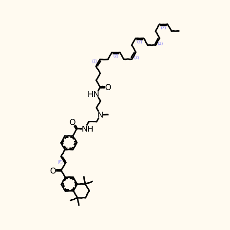 CC/C=C\C/C=C\C/C=C\C/C=C\C/C=C\C/C=C\CCC(=O)NCCN(C)CCNC(=O)c1ccc(/C=C/C(=O)c2ccc3c(c2)C(C)(C)CCC3(C)C)cc1